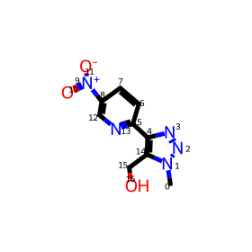 Cn1nnc(-c2ccc([N+](=O)[O-])cn2)c1CO